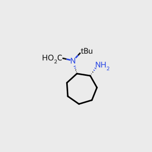 CC(C)(C)N(C(=O)O)[C@H]1CCCCC[C@H]1N